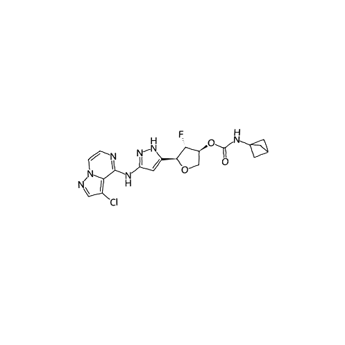 O=C(NC12CC(C1)C2)O[C@H]1CO[C@@H](c2cc(Nc3nccn4ncc(Cl)c34)n[nH]2)[C@@H]1F